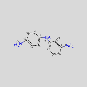 Cc1c(N)cccc1Nc1ccc(N)cc1